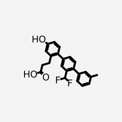 Cc1cccc(-c2ccc(-c3ccc(O)cc3CCC(=O)O)cc2C(F)F)c1